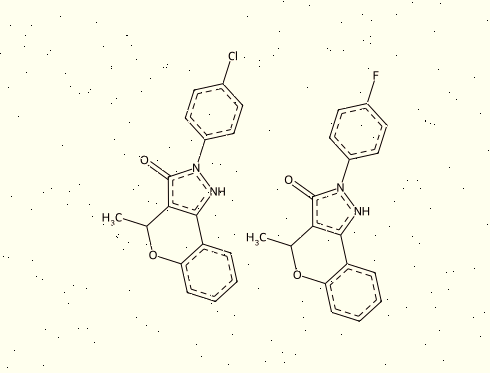 CC1Oc2ccccc2-c2[nH]n(-c3ccc(Cl)cc3)c(=O)c21.CC1Oc2ccccc2-c2[nH]n(-c3ccc(F)cc3)c(=O)c21